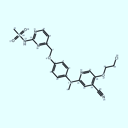 CN(c1ccc(OCc2ccnc(NS(C)(=O)=O)n2)cc1)c1cc(C#N)c(OCCCl)cn1